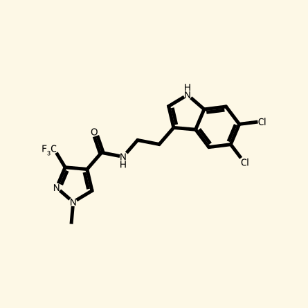 Cn1cc(C(=O)NCCc2c[nH]c3cc(Cl)c(Cl)cc23)c(C(F)(F)F)n1